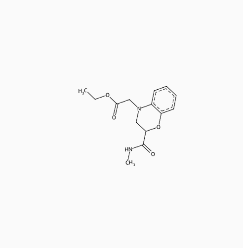 CCOC(=O)CN1CC(C(=O)NC)Oc2ccccc21